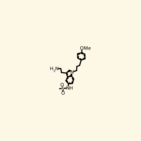 COc1ccc(CCCn2cc(CCN)c3cc(NS(C)(=O)=O)ccc32)cc1